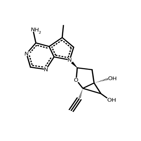 C#C[C@]12O[C@@H](n3cc(C)c4c(N)ncnc43)C[C@@]1(O)C2O